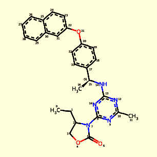 CCC1COC(=O)N1c1nc(C)nc(N[C@@H](C)c2ccc(Oc3ccc4ccccc4c3)cc2)n1